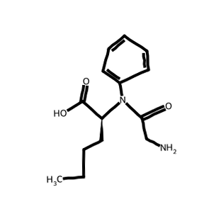 CCCC[C@@H](C(=O)O)N(C(=O)CN)c1ccccc1